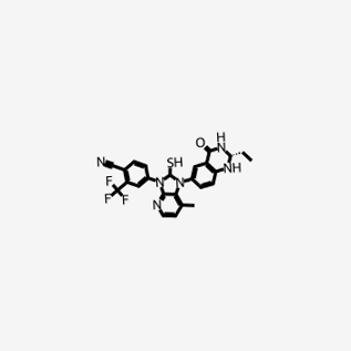 CC[C@H]1NC(=O)c2cc(N3c4c(C)ccnc4N(c4ccc(C#N)c(C(F)(F)F)c4)C3S)ccc2N1